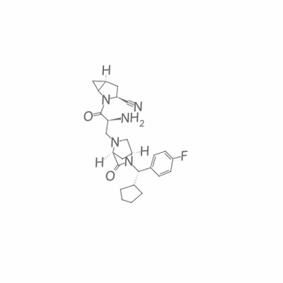 N#C[C@@H]1C[C@@H]2CC2N1C(=O)[C@@H](N)CN1C[C@@H]2C[C@H]1C(=O)N2[C@H](c1ccc(F)cc1)C1CCCC1